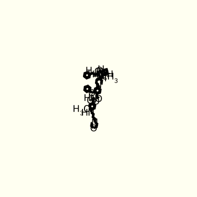 Cc1cc(S(=O)(=O)NC(=O)c2ccc(N3CCC(N(C(=O)CCc4ccccc4)[C@H]4C[C@H]5C[C@@H]([C@@H]4C)C5(C)C)CC3)cc2Oc2ccccc2)ccc1NCCCN1CCOCC1